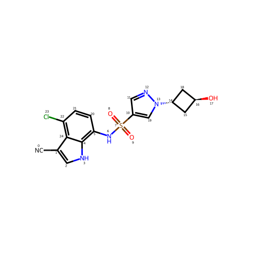 N#Cc1c[nH]c2c(NS(=O)(=O)c3cnn([C@H]4C[C@H](O)C4)c3)ccc(Cl)c12